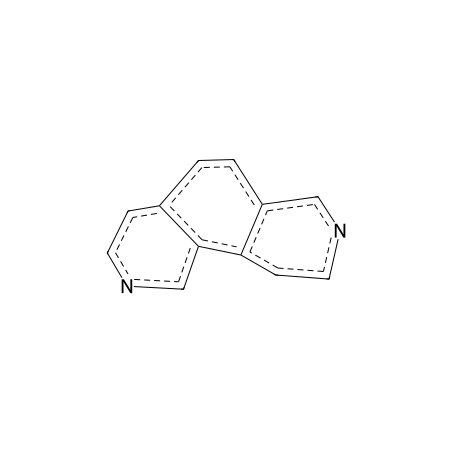 c1cc2c(ccc3ccncc32)cn1